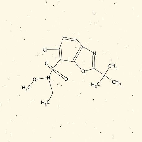 CCN(OC)S(=O)(=O)c1c(Cl)ccc2nc(C(C)(C)C)oc12